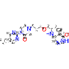 C[C@@H](COCCCN1CCN(c2ncc(C(F)(F)F)cn2)C(=O)C1)Nc1cn[nH]c(=O)c1C(F)(F)F